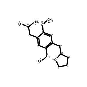 COc1cc(C[C@@H](C)N)c(OC)cc1CC1CCCO1